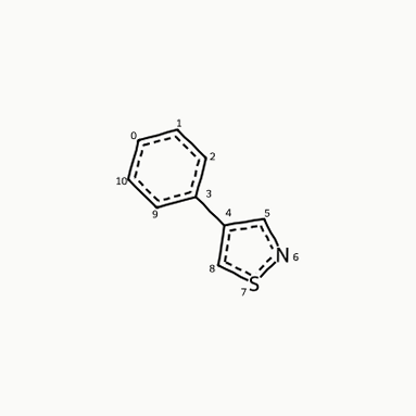 c1ccc(-c2cnsc2)cc1